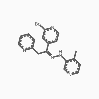 Cc1ccncc1NN=C(Cc1ccccn1)c1ccnc(Br)c1